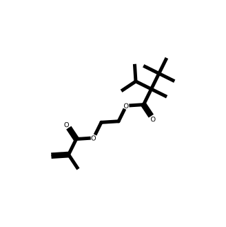 C=C(C)C(=O)OCCOC(=O)C(C)(C(C)C)C(C)(C)C